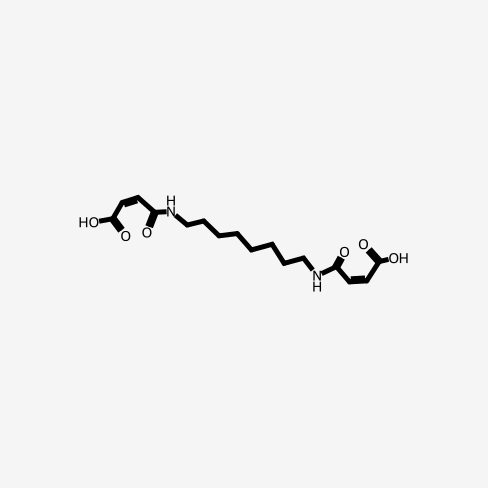 O=C(O)/C=C\C(=O)NCCCCCCCCNC(=O)/C=C\C(=O)O